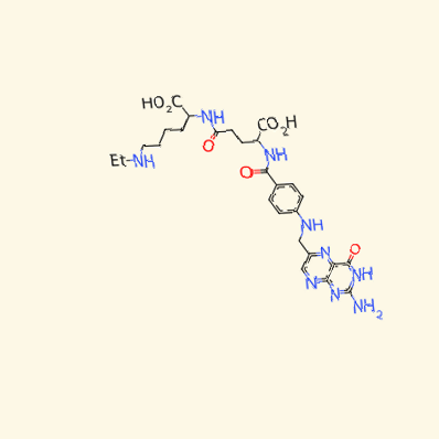 CCNCCCCC(NC(=O)CCC(NC(=O)c1ccc(NCc2cnc3nc(N)[nH]c(=O)c3n2)cc1)C(=O)O)C(=O)O